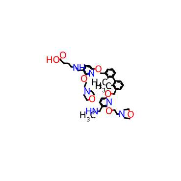 CNCc1ccc(OCc2cccc(-c3cccc(COc4ccc(CNCCCC(=O)O)c(OCCN5CCOCC5)n4)c3C)c2C)nc1OCCN1CCOCC1